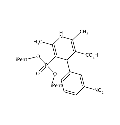 CCCC(C)OP(=O)(OC(C)CCC)C1=C(C)NC(C)=C(C(=O)O)C1c1cccc([N+](=O)[O-])c1